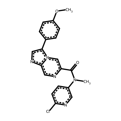 COc1ccc(-c2cnc3cnc(C(=O)N(C)c4ccc(Cl)nc4)cn23)cc1